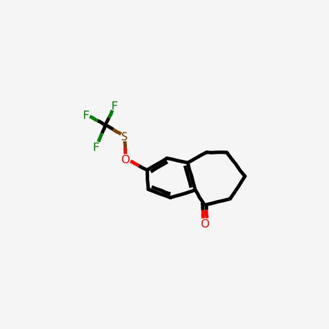 O=C1CCCCc2cc(OSC(F)(F)F)ccc21